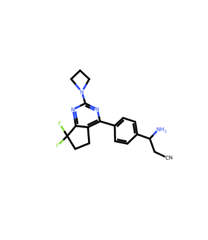 N#CCC(N)c1ccc(-c2nc(N3CCC3)nc3c2CCC3(F)F)cc1